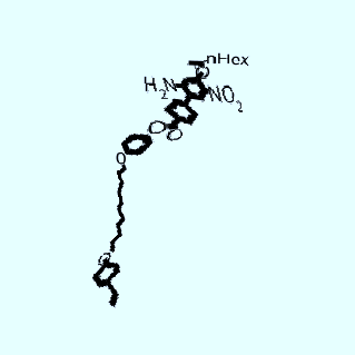 C=Cc1ccc(OCCCCCCCCCCCOc2ccc(OC(=O)c3ccc(-c4cc([N+](=O)[O-])c(O[C@H](C)CCCCCC)cc4N)cc3)cc2)cc1